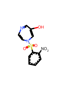 O=[N+]([O-])c1ccccc1S(=O)(=O)N1C=CN=CC(O)=C1